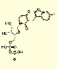 Cc1ccc2c(Cn3c(=O)ccn([C@@H]4O[C@H](COP(=O)(O)O[PH](=O)O)C(O)[C@@H]4O)c3=O)noc2c1